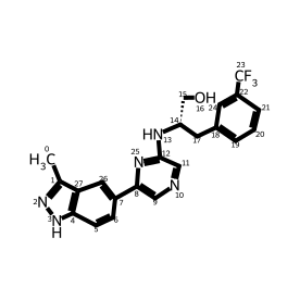 Cc1n[nH]c2ccc(-c3cncc(N[C@H](CO)Cc4cccc(C(F)(F)F)c4)n3)cc12